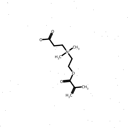 C=C(C)C(=O)OCC[N+](C)(C)CCC(=O)[O-]